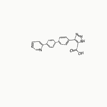 O=C(O)c1[nH]nnc1-c1ccc(-c2ccc(-c3ccccn3)cc2)cc1